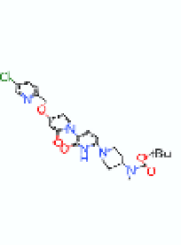 CN(C(=O)OC(C)(C)C)C1CCN(c2ccc(-n3ccc(OCc4ccc(Cl)cn4)cc3=O)c(=O)[nH]2)CC1